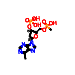 Cc1ncnc2c1ncn2[C@H]1C[C@H](OP(=O)(O)O)[C@@H](COP(C)(=O)O)O1